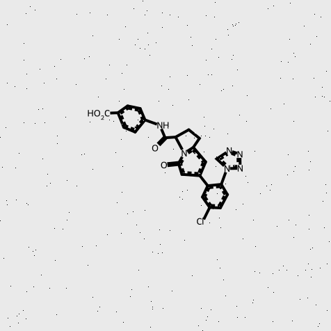 O=C(O)c1ccc(NC(=O)C2CCc3cc(-c4cc(Cl)ccc4-n4cnnn4)cc(=O)n32)cc1